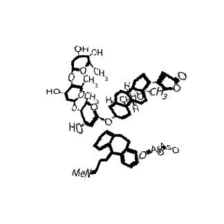 CNCCC=C1c2ccccc2CCc2ccccc21.C[C@H]1O[C@@H](O[C@H]2[C@@H](O)C[C@H](O[C@H]3[C@@H](O)C[C@H](O[C@H]4CC[C@@]5(C)[C@H](CC[C@@H]6[C@@H]5CC[C@]5(C)[C@@H](C7=CC(=O)OC7)CC[C@]65O)C4)O[C@@H]3C)O[C@@H]2C)C[C@H](O)[C@@H]1O.O=[As]O[As]=O